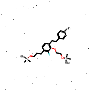 CCCc1ccc(CCc2ccc(CCCO[Si](C)(C)C(C)(C)C)c(F)c2OCCO[Si](C)(C)C(C)(C)C)cc1